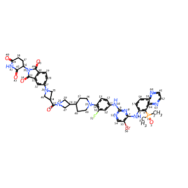 CP(C)(=O)c1c(Nc2nc(Nc3ccc(N4CCC(C5CN(C(=O)C6CN(c7ccc8c(c7)C(=O)N(C7CCC(=O)NC7=O)C8=O)C6)C5)CC4)c(F)c3)ncc2Br)ccc2nccnc12